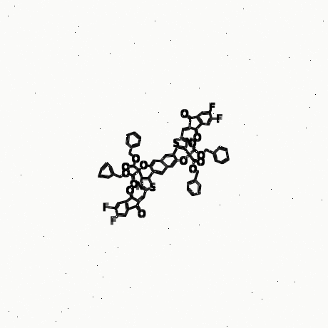 O=C1C(=Cc2nc3c(s2)C2=CC4C=C5OC(C(=O)OCc6ccccc6)(C(=O)OCc6ccccc6)c6nc(C=C7C(=O)c8cc(F)c(F)cc8C7=O)sc6C5=CC4C=C2OC3(C(=O)OCc2ccccc2)C(=O)OCc2ccccc2)C(=O)c2cc(F)c(F)cc21